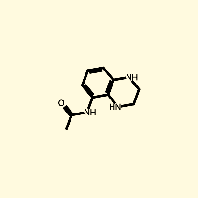 CC(=O)Nc1cccc2c1NCCN2